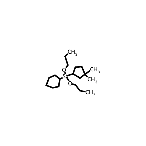 CCCO[Si](OCCC)(C1CCCCC1)C1CCC(C)(C)C1